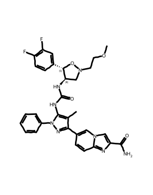 COCCN1C[C@@H](NC(=O)Nc2c(C)c(-c3ccc4nc(C(N)=O)cn4c3)nn2-c2ccccc2)[C@H](c2ccc(F)c(F)c2)O1